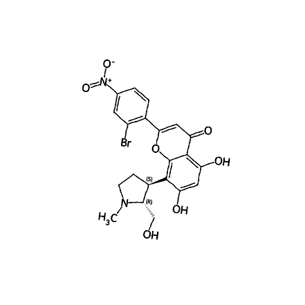 CN1CC[C@@H](c2c(O)cc(O)c3c(=O)cc(-c4ccc([N+](=O)[O-])cc4Br)oc23)[C@@H]1CO